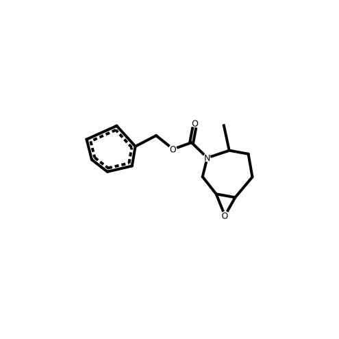 CC1CCC2OC2CN1C(=O)OCc1ccccc1